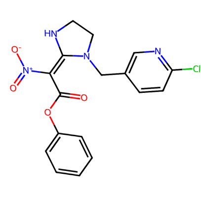 O=C(Oc1ccccc1)/C(=C1/NCCN1Cc1ccc(Cl)nc1)[N+](=O)[O-]